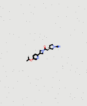 CC(C)Oc1ccc(C2CN(C(=O)C[C@H]3CCN(C#N)C3)C2)nc1